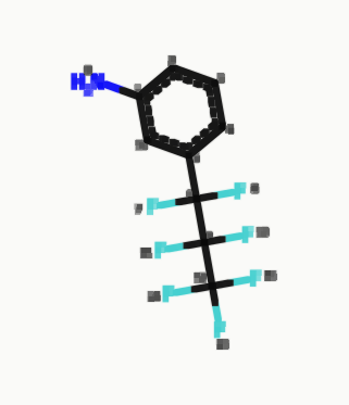 Nc1cccc(C(F)(F)C(F)(F)C(F)(F)F)c1